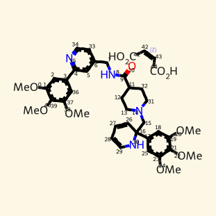 COc1cc(-c2cc(CNC(=O)C3CCN(CC4(c5cc(OC)c(OC)c(OC)c5)C=CC=CN4)CC3)ccn2)cc(OC)c1OC.O=C(O)/C=C\C(=O)O